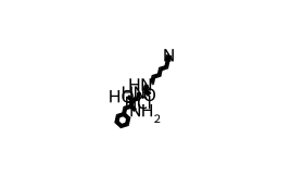 Cl.N#CCCCCCNC(=O)NCC(O)C(N)CC1CCCCC1